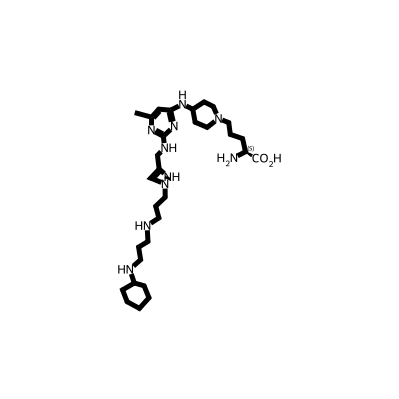 Cc1cc(NC2CCN(CCC[C@H](N)C(=O)O)CC2)nc(NCc2cn(CCCNCCCNC3CCCCC3)[nH]2)n1